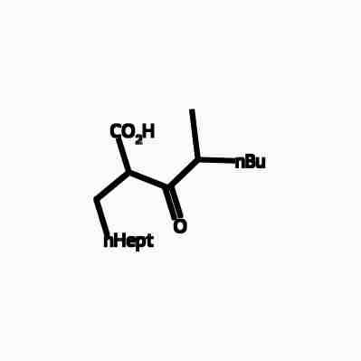 CCCCCCCCC(C(=O)O)C(=O)C(C)CCCC